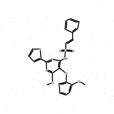 COc1ccccc1Oc1c(NS(=O)(=O)/C=C/c2ccccc2)nc(-c2cccs2)nc1OC